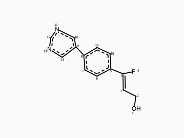 OC/C=C(\F)c1ccc(-c2cncnc2)cc1